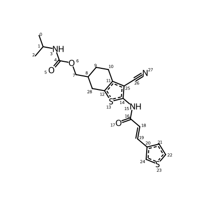 CC(C)NC(=O)OCC1CCc2c(sc(NC(=O)C=Cc3ccsc3)c2C#N)C1